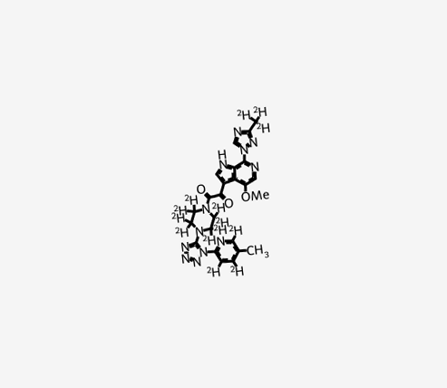 [2H]c1nc(-n2nnnc2N2C([2H])([2H])C([2H])([2H])N(C(=O)C(=O)c3c[nH]c4c(-n5cnc(C([2H])([2H])[2H])n5)ncc(OC)c34)C([2H])([2H])C2([2H])[2H])c([2H])c([2H])c1C